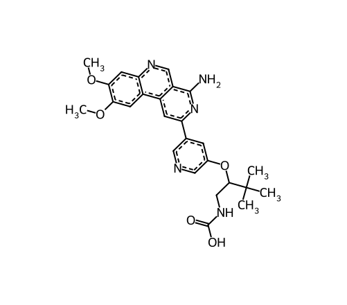 COc1cc2ncc3c(N)nc(-c4cncc(OC(CNC(=O)O)C(C)(C)C)c4)cc3c2cc1OC